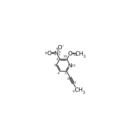 CC#Cc1ccc([N+](=O)[O-])c(OC)n1